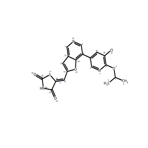 CC(C)Oc1ncc(-c2cncc3cc(/C=C4\SC(=O)NC4=O)oc23)cc1Cl